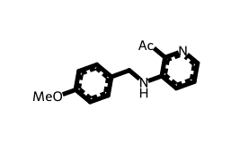 COc1ccc(CNc2cccnc2C(C)=O)cc1